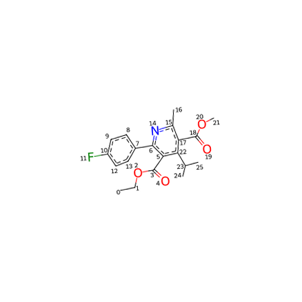 CCOC(=O)c1c(-c2ccc(F)cc2)nc(C)c(C(=O)OC)c1C(C)C